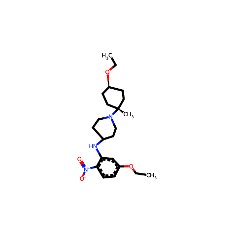 CCOc1ccc([N+](=O)[O-])c(NC2CCN([C@]3(C)CC[C@@H](OCC)CC3)CC2)c1